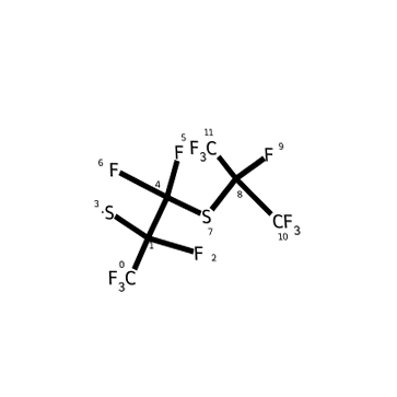 FC(F)(F)C(F)([S])C(F)(F)SC(F)(C(F)(F)F)C(F)(F)F